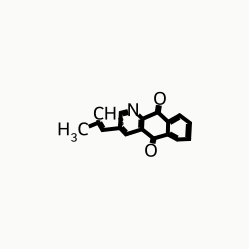 CC(C)=Cc1cnc2c(c1)C(=O)c1ccccc1C2=O